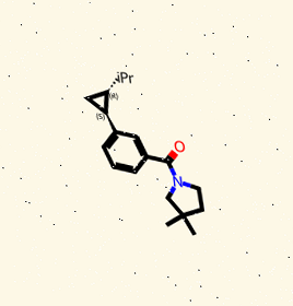 CC(C)[C@H]1C[C@@H]1c1cccc(C(=O)N2CCC(C)(C)C2)c1